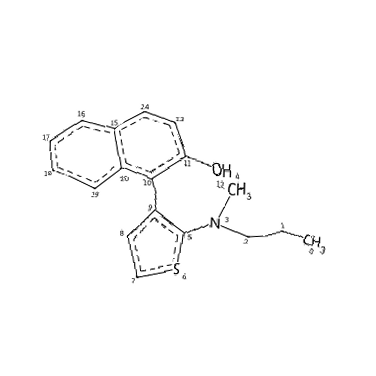 CCCN(C)c1sccc1-c1c(O)ccc2ccccc12